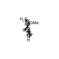 COc1cc(-c2cc(=O)n3cc([C@]4(F)CCNC[C@@H]4F)sc3n2)nn2cc(C)nc12